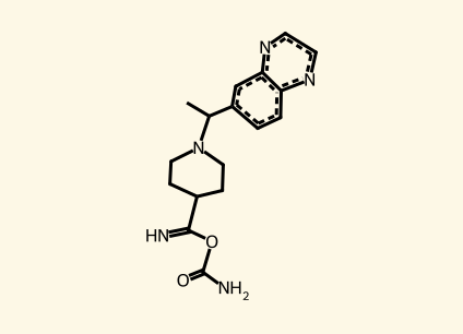 CC(c1ccc2nccnc2c1)N1CCC(C(=N)OC(N)=O)CC1